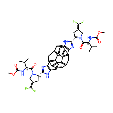 COC(=O)N[C@H](C(=O)N1CC(=C(F)F)C[C@H]1c1nc2cc(-c3cc4ccc3CCc3ccc(c(-c5ccc6[nH]c([C@@H]7CC(=C(F)F)CN7C(=O)[C@@H](NC(=O)OC)C(C)C)nc6c5)c3)CC4)ccc2[nH]1)C(C)C